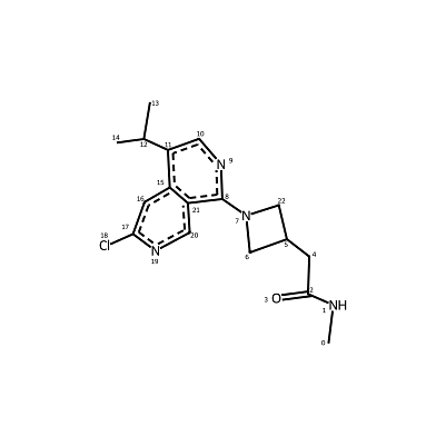 CNC(=O)CC1CN(c2ncc(C(C)C)c3cc(Cl)ncc23)C1